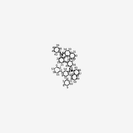 C1=CC(c2cc(-c3ccccc3)cc(N(c3cccc(-c4cccc5c4c4c6ccccc6ccc4n5-c4ccccc4)c3)c3cccc4ccccc34)c2)=CCC1